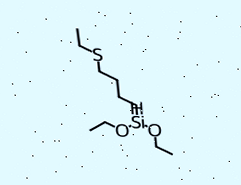 CCO[SiH](CCCCSCC)OCC